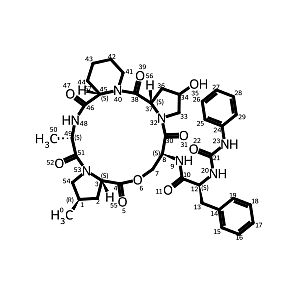 C[C@@H]1C[C@H]2C(=O)OC[C@H](NC(=O)[C@H](Cc3ccccc3)NC(=O)Nc3ccccc3)C(=O)N3CC(O)C[C@H]3C(=O)N3CCCC[C@H]3C(=O)N[C@@H](C)C(=O)N2C1